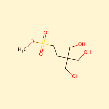 COS(=O)(=O)CCC(CO)(CO)CO